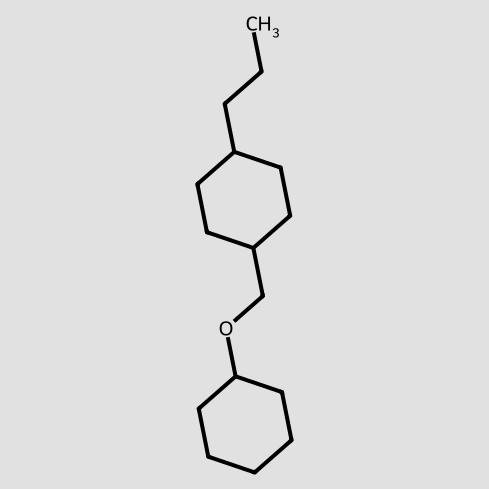 CCCC1CCC(COC2CCCCC2)CC1